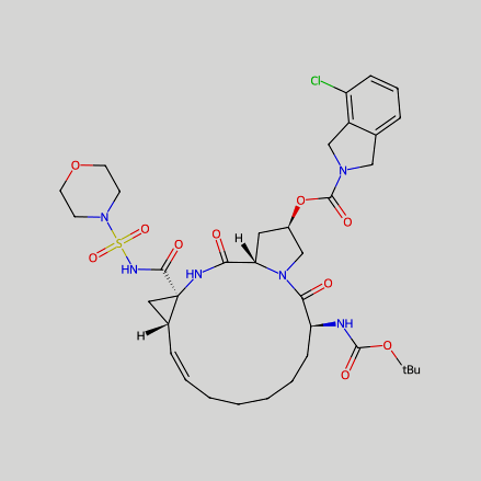 CC(C)(C)OC(=O)N[C@H]1CCCCC/C=C\[C@@H]2C[C@@]2(C(=O)NS(=O)(=O)N2CCOCC2)NC(=O)[C@@H]2C[C@@H](OC(=O)N3Cc4cccc(Cl)c4C3)CN2C1=O